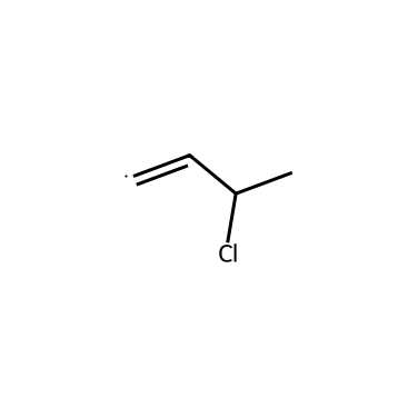 [CH]=CC(C)Cl